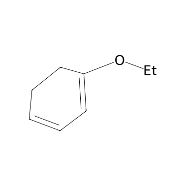 [CH2]COC1=CC=CCC1